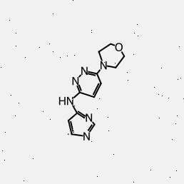 [c]1cc(Nc2ccc(N3CCOCC3)nn2)ncn1